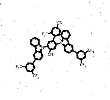 N#Cc1ccc(-c2cc(-n3c4ccccc4c4cc(-c5cc(C(F)(F)F)cc(C(F)(F)F)c5)ccc43)c(C#N)cc2-n2c3ccccc3c3cc(-c4cc(C(F)(F)F)cc(C(F)(F)F)c4)ccc32)c(C(F)(F)F)c1